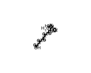 CN1NN=NC=C1C(CC(=O)CCC(=O)CCC(=O)CCC(=O)CCCC(=O)O)Oc1ccccc1